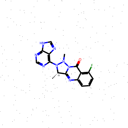 C[C@H]1c2nc3cccc(F)c3c(=O)n2N(C)N1c1ncnc2[nH]cnc12